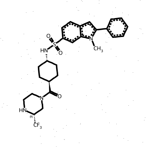 Cn1c(-c2ccccc2)cc2ccc(S(=O)(=O)N[C@H]3CC[C@H](C(=O)N4CCN[C@@H](C(F)(F)F)C4)CC3)cc21